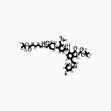 CN(C)Cc1nc(Nc2ccc(-c3cnc4cc(F)ccn34)c3c2C(=O)N(C(=O)OC(C)(C)C)C3)ccc1N1CCC(O)(COCCCCC(=O)OC(C)(C)C)CC1